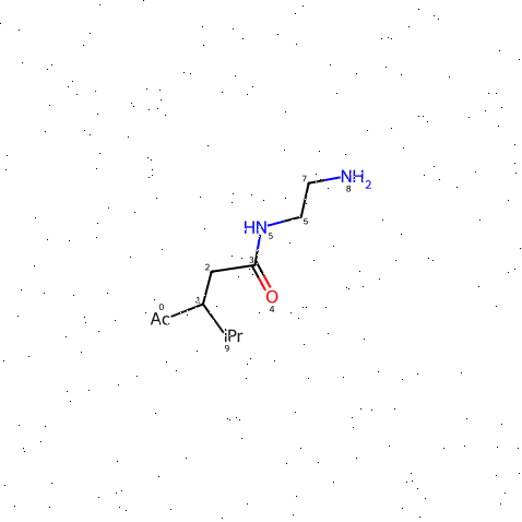 CC(=O)C(CC(=O)NCCN)C(C)C